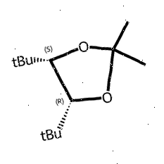 CC1(C)O[C@@H](C(C)(C)C)[C@@H](C(C)(C)C)O1